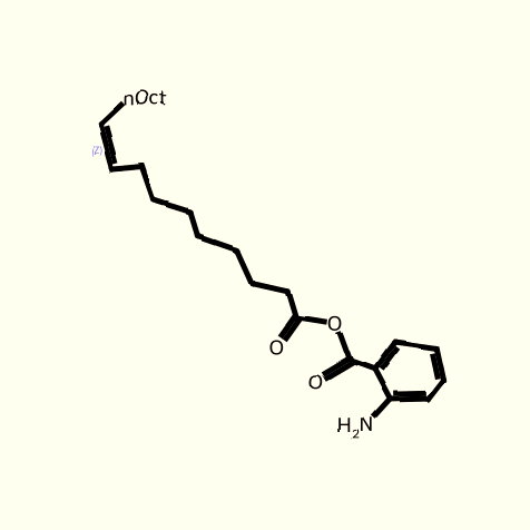 CCCCCCCC/C=C\CCCCCCCC(=O)OC(=O)c1ccccc1N